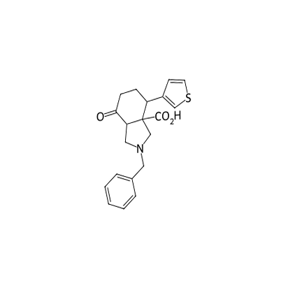 O=C1CCC(c2ccsc2)C2(C(=O)O)CN(Cc3ccccc3)CC12